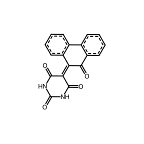 O=C1NC(=O)C(=C2C(=O)c3ccccc3-c3ccccc32)C(=O)N1